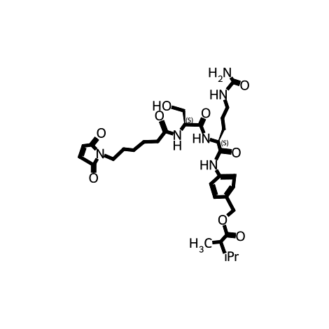 CC(C)C(C)C(=O)OCc1ccc(NC(=O)[C@H](CCCNC(N)=O)NC(=O)[C@H](CO)NC(=O)CCCCCN2C(=O)C=CC2=O)cc1